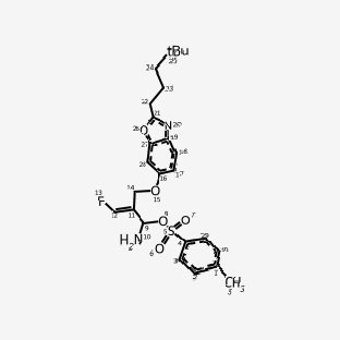 Cc1ccc(S(=O)(=O)OC(N)/C(=C/F)COc2ccc3nc(CCCC(C)(C)C)oc3c2)cc1